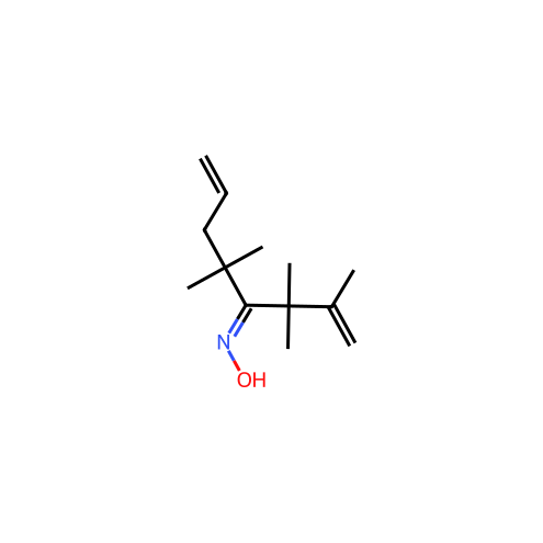 C=CCC(C)(C)C(=NO)C(C)(C)C(=C)C